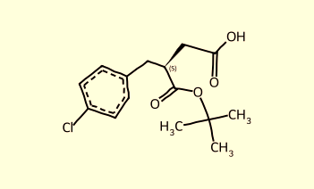 CC(C)(C)OC(=O)[C@H](CC(=O)O)Cc1ccc(Cl)cc1